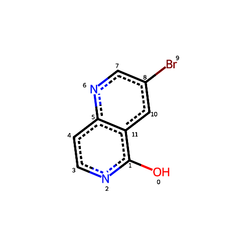 Oc1nccc2ncc(Br)cc12